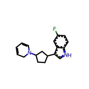 Fc1ccc2[nH]cc(C3CCC(N4C=CC=CC4)C3)c2c1